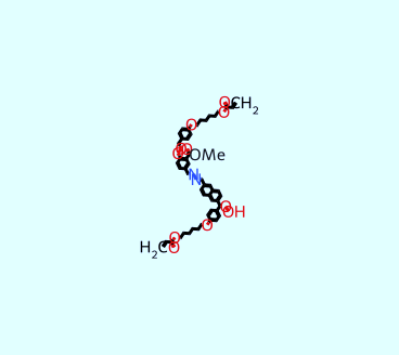 C=CC(=O)OCCCCCCOc1ccc(COOc2ccc(/C=N/N=C/c3ccc4cc(C(OO)c5ccc(OCCCCCCOC(=O)C=C)cc5)ccc4c3)cc2C(=O)OC)cc1